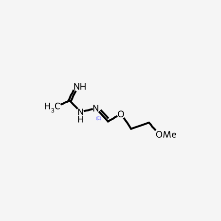 COCCO/C=N/NC(C)=N